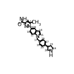 Cc1cc(C(N)=O)nn1-c1ccc2c(ccn2Cc2ccc(C3CCNC3)cc2)c1